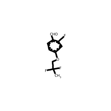 CC(F)(F)COc1ccc(C=O)c(F)c1